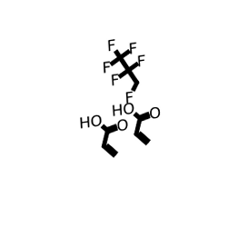 C=CC(=O)O.C=CC(=O)O.FCC(F)(F)C(F)(F)F